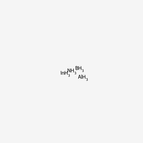 B.N.[AlH3].[InH3]